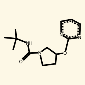 CC(C)(C)NC(=O)N1CCC(Oc2ncccn2)C1